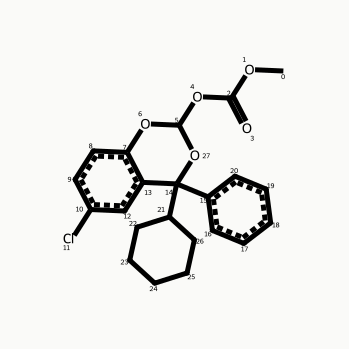 COC(=O)OC1Oc2ccc(Cl)cc2C(c2ccccc2)(C2CCCCC2)O1